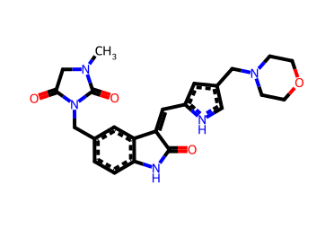 CN1CC(=O)N(Cc2ccc3c(c2)C(=Cc2cc(CN4CCOCC4)c[nH]2)C(=O)N3)C1=O